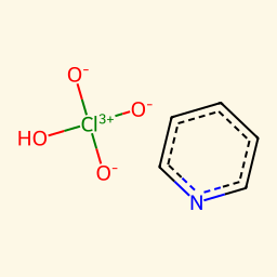 [O-][Cl+3]([O-])([O-])O.c1ccncc1